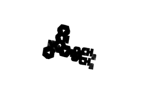 C=C1OB(c2ccc3c(c2)c2nc4ccccc4cc2c2nc4ccccc4n32)OC1=C